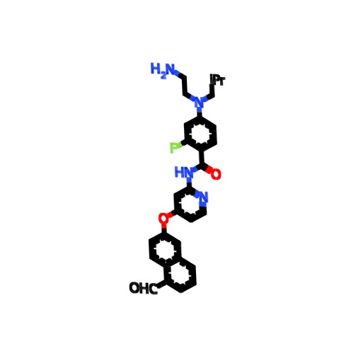 CC(C)CN(CCN)c1ccc(C(=O)Nc2cc(Oc3ccc4c(C=O)cccc4c3)ccn2)c(F)c1